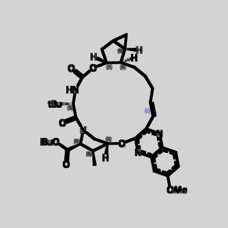 COc1ccc2nc3c(nc2c1)O[C@H]1CN(C(=O)[C@H](C(C)(C)C)NC(=O)O[C@@H]2CC4C[C@@H]4[C@H]2CCC/C=C/3)[C@H](C(=O)OCC(C)C)[C@@H]1C